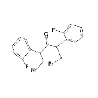 O=C(C(CBr)c1ccccc1F)C(CBr)c1ccccc1F